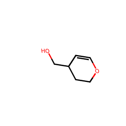 OCC1C=COCC1